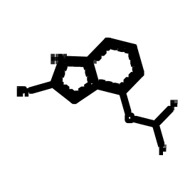 CC(C)c1cc2c(OC(F)F)cccc2[nH]1